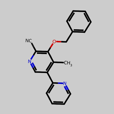 Cc1c(-c2ccccn2)cnc(C#N)c1OCc1ccccc1